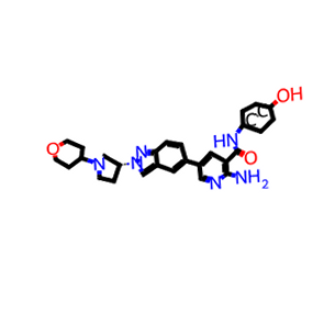 Nc1ncc(-c2ccc3nn([C@@H]4CCN(C5CCOCC5)C4)cc3c2)cc1C(=O)NC12CCC(O)(CC1)CC2